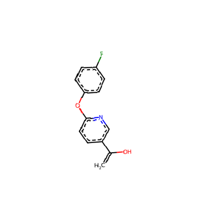 C=C(O)c1ccc(Oc2ccc(F)cc2)nc1